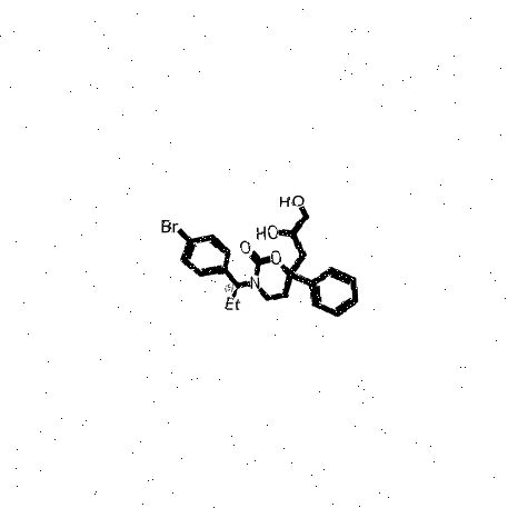 CC[C@@H](c1ccc(Br)cc1)N1CCC(CC(O)CO)(c2ccccc2)OC1=O